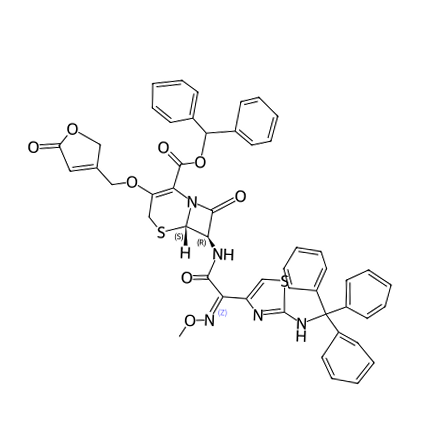 CO/N=C(\C(=O)N[C@@H]1C(=O)N2C(C(=O)OC(c3ccccc3)c3ccccc3)=C(OCC3=CC(=O)OC3)CS[C@@H]12)c1csc(NC(c2ccccc2)(c2ccccc2)c2ccccc2)n1